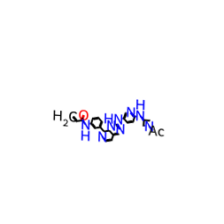 C=CC(=O)Nc1cccc(-c2nccc3cnc(Nc4ccc(NC5CN(C(C)=O)C5)nc4)nc23)c1